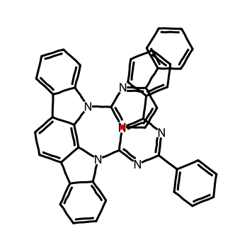 c1ccc(-c2ccnc(-n3c4ccccc4c4ccc5c6ccccc6n(-c6nc(-c7ccccc7)nc(-c7ccccc7)n6)c5c43)n2)cc1